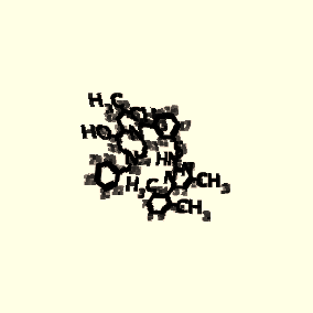 Cc1cc(-c2c(C)cccc2C)nc(NSc2cccc(CN3CCN(Cc4ccccc4)CC(O)C3CC(C)C)c2)n1